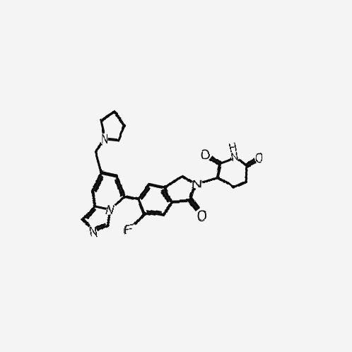 O=C1CCC(N2Cc3cc(-c4cc(CN5CCCC5)cc5cncn45)c(F)cc3C2=O)C(=O)N1